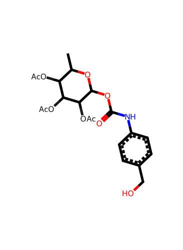 CC(=O)OC1C(C)OC(OC(=O)Nc2ccc(CO)cc2)C(OC(C)=O)C1OC(C)=O